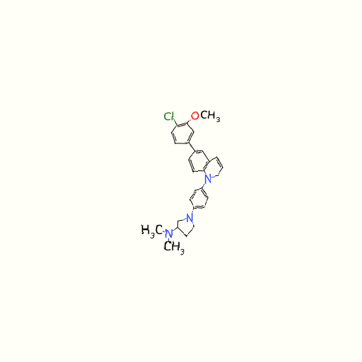 COc1cc(-c2ccc3c(c2)C=CCN3c2ccc(N3CCC(N(C)C)C3)cc2)ccc1Cl